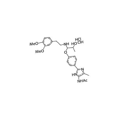 COc1ccc(CCNC(Oc2ccc(-c3nc(C)c(NC(C)=O)[nH]3)cc2)C(C)O)cc1OC.Cl.Cl